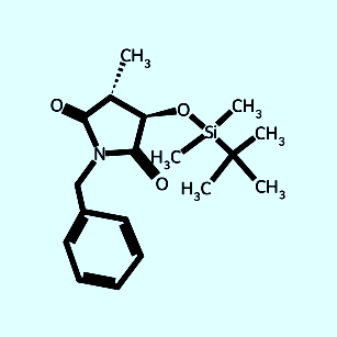 C[C@H]1C(=O)N(Cc2ccccc2)C(=O)[C@@H]1O[Si](C)(C)C(C)(C)C